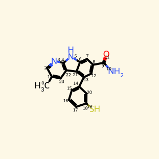 Cc1cnc2[nH]c3cc(C(N)=O)cc(-c4cccc(S)c4)c3c2c1